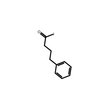 O=C(I)CCCc1ccccc1